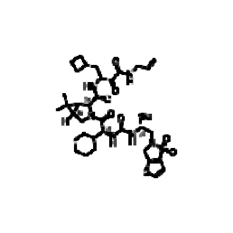 C=CCNC(=O)C(=O)C(CC1CCC1)NC(=O)[C@@H]1C2[C@H](CN1C(=O)[C@@H](NC(=O)N[C@H](CN1Cc3sccc3S1(=O)=O)C(C)(C)C)C1CCCCC1)C2(C)C